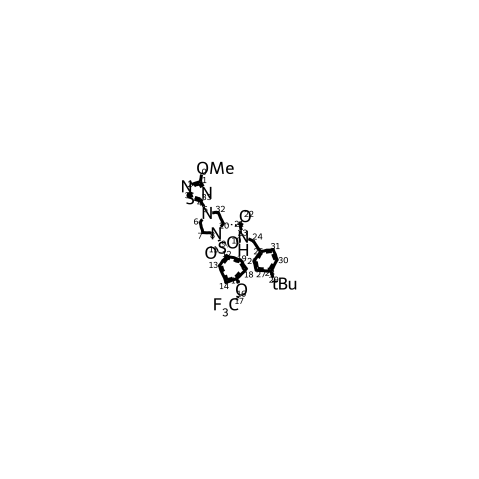 COc1nsc(N2CCN(S(=O)(=O)c3ccc(OC(F)(F)F)cc3)[C@@H](C(=O)NCc3ccc(C(C)(C)C)cc3)C2)n1